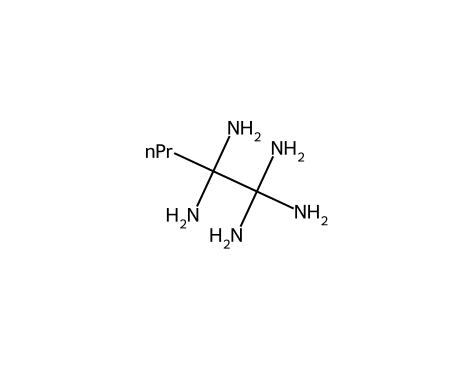 CCCC(N)(N)C(N)(N)N